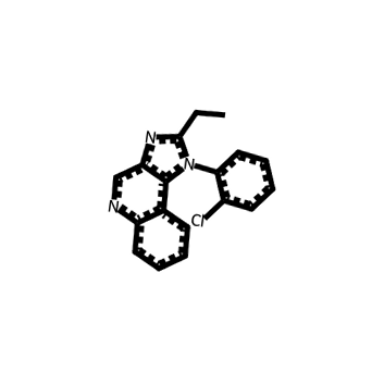 CCc1nc2cnc3ccccc3c2n1-c1ccccc1Cl